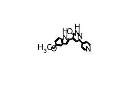 COc1ccc2[nH]c(-c3cc(-c4ccncc4)n[nH]c3=O)cc2c1